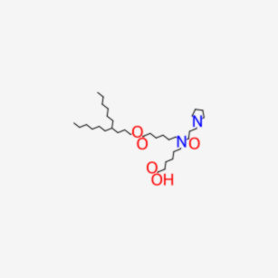 CCCCCCC(CCCCCC)CCCOC(=O)CCCCCN(CCCCCC(=O)O)C(=O)CCN1CCCC1